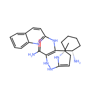 CC1C/C=C(\N[C@@H]2CCCC[C@@H]2N)NN/C(C(N)=O)=C\1Nc1ccc2ccccc2n1